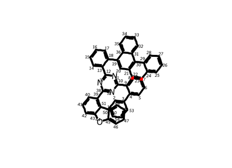 c1ccc(-c2ccccc2-c2nc(-c3ccccc3-c3cc4ccc5ccccc5c4c4ccccc34)nc(-c3cccc4oc5ccccc5c34)n2)cc1